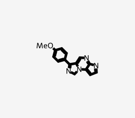 COc1ccc(C2=NCn3c2cnc2nccc3-2)cc1